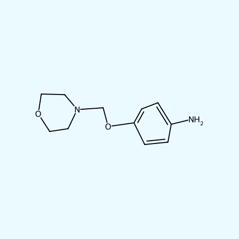 Nc1ccc(OCN2CCOCC2)cc1